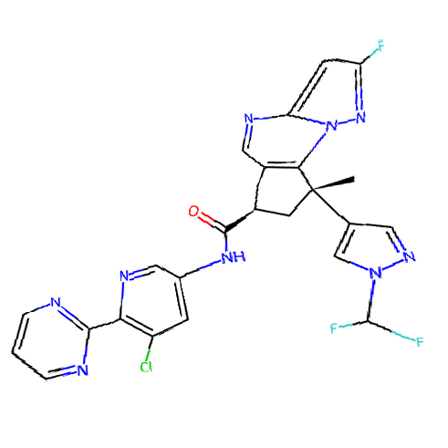 C[C@@]1(c2cnn(C(F)F)c2)C[C@@H](C(=O)Nc2cnc(-c3ncccn3)c(Cl)c2)c2cnc3cc(F)nn3c21